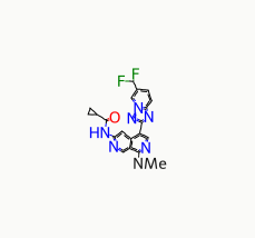 CNc1ncc(-c2nc3ccc(C(F)F)cn3n2)c2cc(NC(=O)C3CC3)ncc12